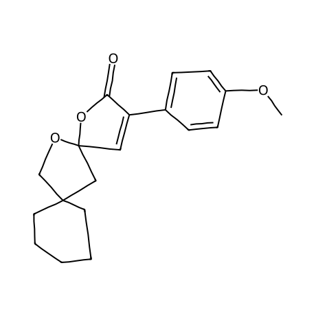 COc1ccc(C2=CC3(CC4(CCCCC4)CO3)OC2=O)cc1